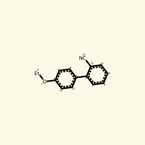 CCOc1ccc(-c2ccccc2C#N)cc1